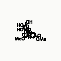 COC(=O)C[C@H]1C[C@H](O[C@@H]2O[C@H](CO)[C@@H](O)[C@H](O)[C@H]2O)[C@]2(C)CCC(C(=O)OC)=CC[C@@H]12